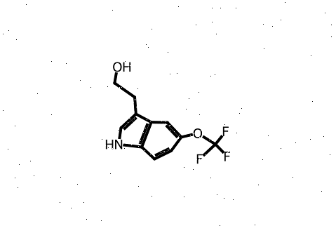 OCCc1c[nH]c2ccc(OC(F)(F)F)cc12